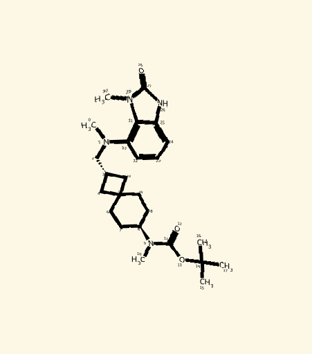 CN(C[C@H]1CC2(CC[C@H](N(C)C(=O)OC(C)(C)C)CC2)C1)c1cccc2[nH]c(=O)n(C)c12